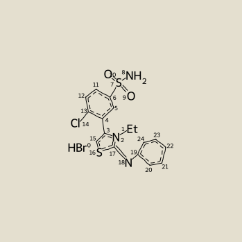 Br.CCn1c(-c2cc(S(N)(=O)=O)ccc2Cl)cs/c1=N/c1ccccc1